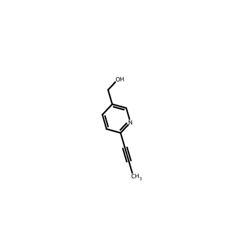 CC#Cc1ccc(CO)cn1